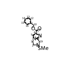 CSN1CCn2cc(C(=O)OCc3ccccc3)nc2C1